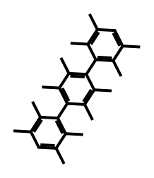 Cc1cc(C)c(C)c(-c2c(C)c(C)c(-c3c(C)c(C)cc(C)c3C)c(C)c2C)c1C